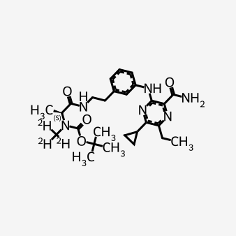 [2H]C([2H])([2H])N(C(=O)OC(C)(C)C)[C@@H](C)C(=O)NCCc1cccc(Nc2nc(C3CC3)c(CC)nc2C(N)=O)c1